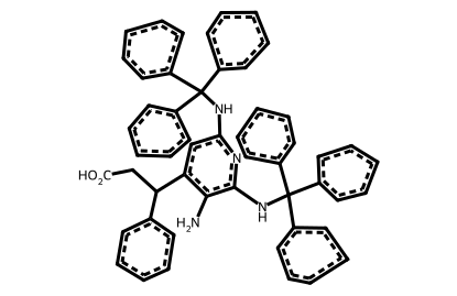 Nc1c(C(CC(=O)O)c2ccccc2)cc(NC(c2ccccc2)(c2ccccc2)c2ccccc2)nc1NC(c1ccccc1)(c1ccccc1)c1ccccc1